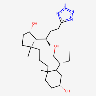 CC[C@@H](CO)C1C[C@H](O)CCC1(C)CCCC1(C)CC[C@H](O)[C@@H]1[C@H](C)CCc1nn[nH]n1